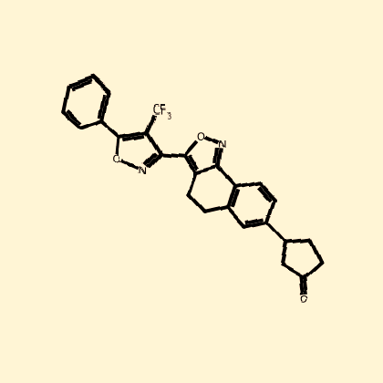 O=C1CCC(c2ccc3c(c2)CCc2c-3noc2-c2noc(-c3ccccc3)c2C(F)(F)F)C1